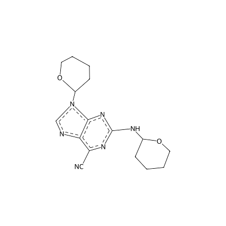 N#Cc1nc(NC2CCCCO2)nc2c1ncn2C1CCCCO1